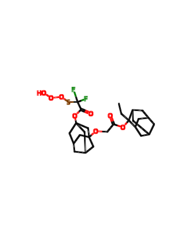 CCC1(OC(=O)COC23CC4CC(C2)CC(OC(=O)C(F)(F)SOOO)(C4)C3)C2CC3CC(C2)CC1C3